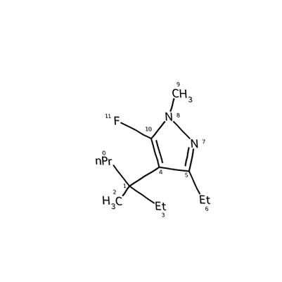 CCCC(C)(CC)c1c(CC)nn(C)c1F